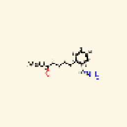 COC(=O)CCCCc1ccccc1CN